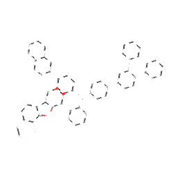 C1=Cc2ccc3c(oc4c(-c5ccccc5N(c5ccc(-c6ccc(-c7ccccc7)c(-c7ccccc7)c6)cc5)c5ccc(-c6ccc7ccccc7c6)cc5)cccc43)c2CC1